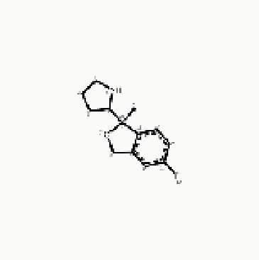 C[C@]1(C2CCCN2)OCc2cc(F)ccc21